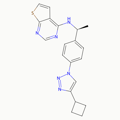 C[C@H](Nc1ncnc2sccc12)c1ccc(-n2cc(C3CCC3)nn2)cc1